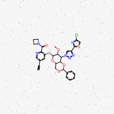 C#Cc1cnc(C(=O)N2CCC2)c(SC2OC3COC(c4ccccc4)OC3C(n3cc(-c4nc(Cl)cs4)nn3)C2OC)c1